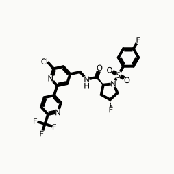 O=C(NCc1cc(Cl)nc(-c2ccc(C(F)(F)F)nc2)c1)[C@@H]1C[C@@H](F)CN1S(=O)(=O)c1ccc(F)cc1